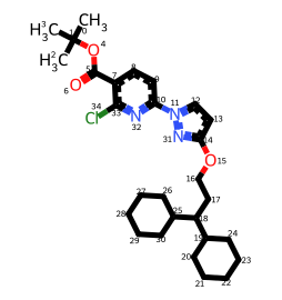 CC(C)(C)OC(=O)c1ccc(-n2ccc(OCCC(C3CCCCC3)C3CCCCC3)n2)nc1Cl